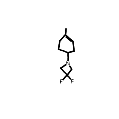 CC1=CCC(N2CC(F)(F)C2)CC1